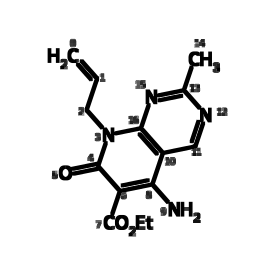 C=CCn1c(=O)c(C(=O)OCC)c(N)c2cnc(C)nc21